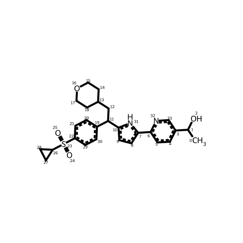 CC(O)c1ccc(-c2ccc(C(CC3CCOCC3)c3ccc(S(=O)(=O)C4CC4)cc3)[nH]2)nc1